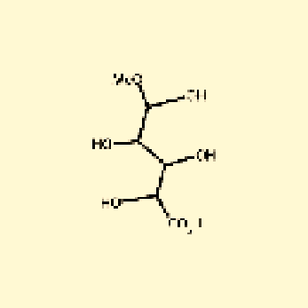 COC(O)C(O)C(O)C(O)C(=O)O